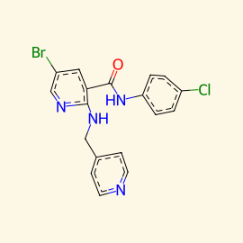 O=C(Nc1ccc(Cl)cc1)c1cc(Br)cnc1NCc1ccncc1